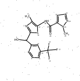 Cc1nc(C(O)c2cccc(C(F)(F)F)c2)sc1NC(=O)c1ccnn1C